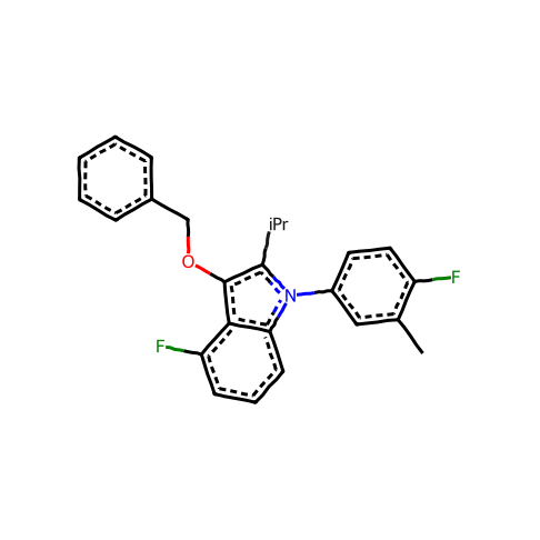 Cc1cc(-n2c(C(C)C)c(OCc3ccccc3)c3c(F)cccc32)ccc1F